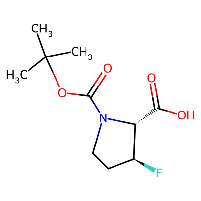 CC(C)(C)OC(=O)N1CC[C@H](F)[C@H]1C(=O)O